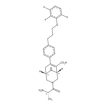 C[C@H](N)C(=O)N1C[C@@H]2CC(c3ccc(CCCOc4c(F)ccc(F)c4F)cc3)=C(C(=O)O)[C@H](C1)N2